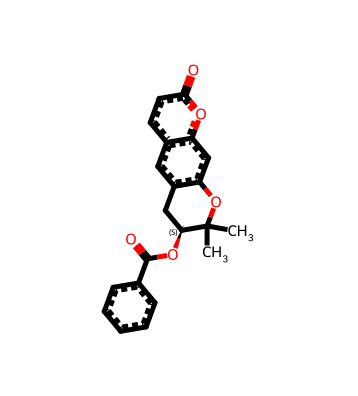 CC1(C)Oc2cc3oc(=O)ccc3cc2C[C@@H]1OC(=O)c1ccccc1